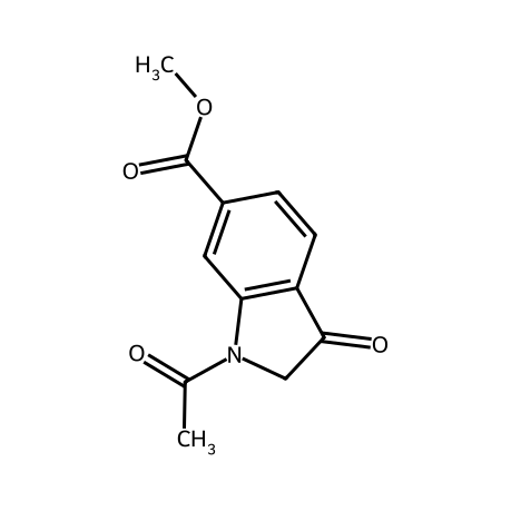 COC(=O)c1ccc2c(c1)N(C(C)=O)CC2=O